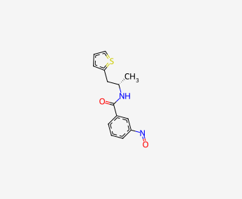 C[C@@H](Cc1cccs1)NC(=O)c1cccc(N=O)c1